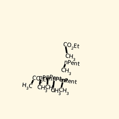 CCCCCC.CCCCCC.CCCCCC.CCCCCC.CCCCCC.CCOC(C)=O.CCOC(C)=O